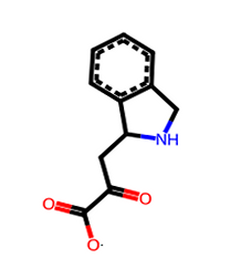 [O]C(=O)C(=O)CC1NCc2ccccc21